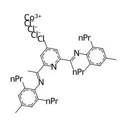 CCCc1cc(C)cc(CCC)c1N=C(C)c1cc(Cl)cc(C(C)=Nc2c(CCC)cc(C)cc2CCC)n1.[Cl-].[Cl-].[Cl-].[Co+3]